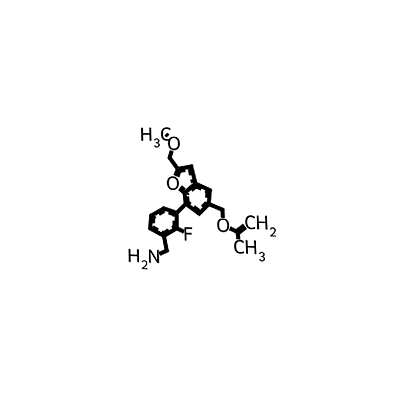 C=C(C)OCc1cc(-c2cccc(CN)c2F)c2oc(COC)cc2c1